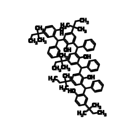 CCC(C)(C)c1ccc(O)c(C(c2ccccc2)c2cc(C(C)(C)CC)cc(C(c3ccccc3)c3cc(C(C)(C)CC)cc(C(c4ccccc4)c4cc(C(C)(C)CC)cc(C(c5ccccc5)c5cc(C(C)(C)CC)ccc5O)c4O)c3O)c2O)c1